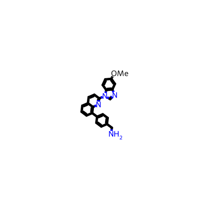 COc1ccc2c(c1)ncn2-c1ccc2cccc(-c3ccc(CN)cc3)c2n1